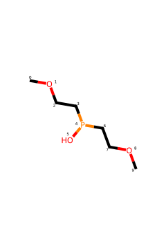 COCCP(O)CCOC